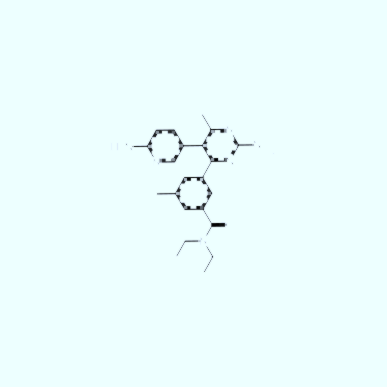 CCN(CC)C(=O)c1cc(Cl)cc(-c2nc(N)nc(C)c2-c2ccc(N)nc2)c1